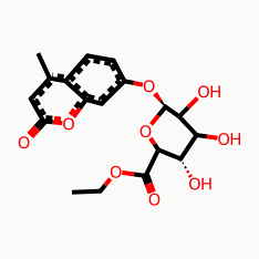 CCOC(=O)C1O[C@@H](Oc2ccc3c(C)cc(=O)oc3c2)C(O)C(O)[C@@H]1O